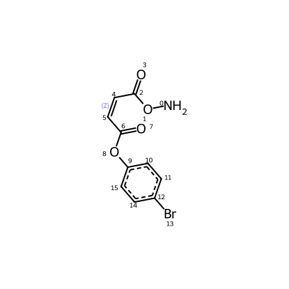 NOC(=O)/C=C\C(=O)Oc1ccc(Br)cc1